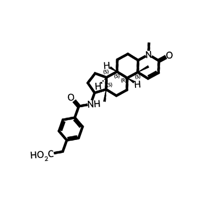 CN1C(=O)C=C[C@@]2(C)C1CC[C@@H]1[C@H]2CC[C@]2(C)C(NC(=O)c3ccc(CC(=O)O)cc3)CC[C@@H]12